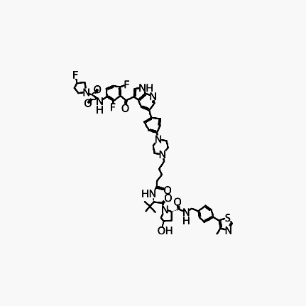 Cc1ncsc1-c1ccc(CNC(=O)[C@@H]2C[C@@H](O)CN2C(=O)[C@@H](NC(=O)CCCCN2CCN(c3ccc(-c4cnc5[nH]cc(C(=O)c6c(F)ccc(NS(=O)(=O)N7CC[C@@H](F)C7)c6F)c5c4)cc3)CC2)C(C)(C)C)cc1